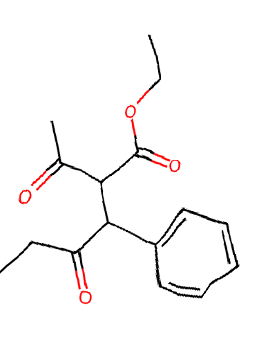 CCOC(=O)C(C(C)=O)C(C(=O)CC)c1ccccc1